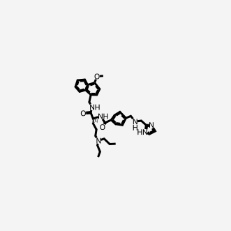 CCCN(CCC)CCC[C@H](NC(=O)c1ccc(CNCc2ncc[nH]2)cc1)C(=O)NCc1ccc(OC)c2ccccc12